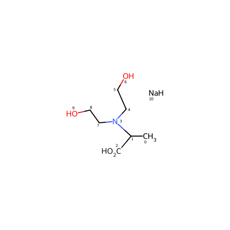 CC(C(=O)O)N(CCO)CCO.[NaH]